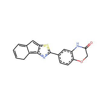 O=C1COc2ccc(-c3nc4c(s3)=CC3=CC=CCC=43)cc2N1